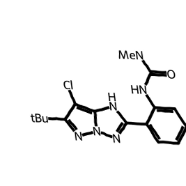 CNC(=O)Nc1ccccc1-c1nn2nc(C(C)(C)C)c(Cl)c2[nH]1